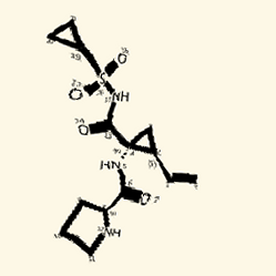 C=C[C@@H]1C[C@]1(NC(=O)[C@@H]1CCCN1)C(=O)NS(=O)(=O)C1CC1